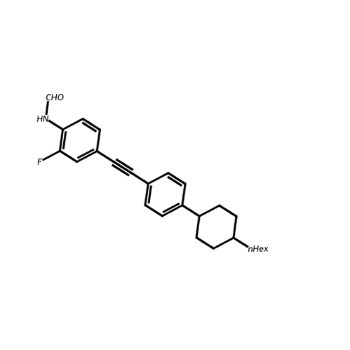 CCCCCCC1CCC(c2ccc(C#Cc3ccc(NC=O)c(F)c3)cc2)CC1